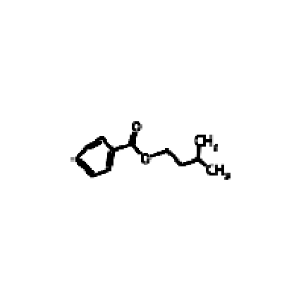 CC(C)CCOC(=O)c1cc[c]cc1